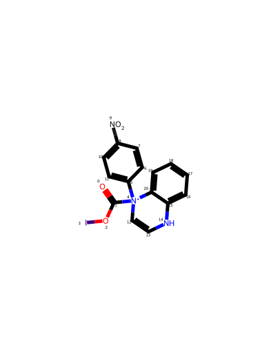 O=C(OI)[N+]1(c2ccc([N+](=O)[O-])cc2)C=CNc2ccccc21